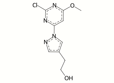 COc1cc(-n2cc(CCO)cn2)nc(Cl)n1